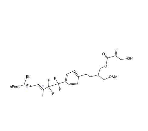 C=C(CO)C(=O)OCC(CCc1ccc(C(F)(F)C(F)(F)/C(C)=C/C=C(\CC)CCCCC)cc1)COC